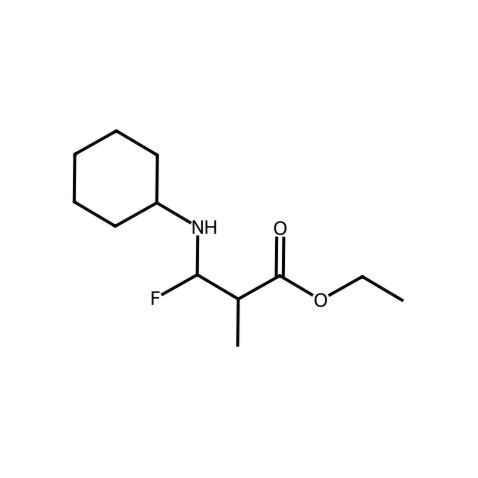 CCOC(=O)C(C)C(F)NC1CCCCC1